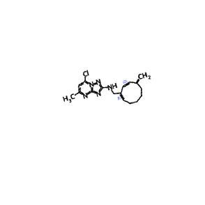 C=C1/C=C\C(CNc2nc3nc(C)cc(Cl)n3n2)=C/CCCC1